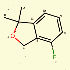 CC1(C)OCc2c(F)cccc21